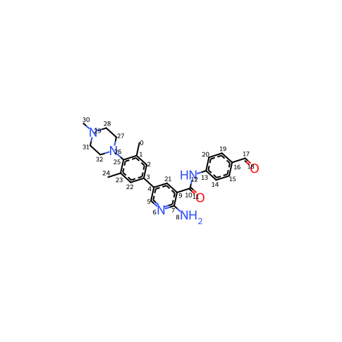 Cc1cc(-c2cnc(N)c(C(=O)Nc3ccc(C=O)cc3)c2)cc(C)c1N1CCN(C)CC1